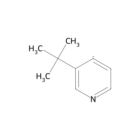 CC(C)(C)c1[c]ccnc1